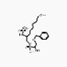 CCCCCCCCCCCCCCCCC(COP(=O)(O)C(O)COCc1ccccc1)NS(=O)(=O)CCCCCCCCCC